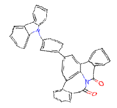 O=c1c2ccccc2c2cc(-c3ccc(-n4c5ccccc5c5ccccc54)cc3)cc3c4ccccc4c(=O)n1c23